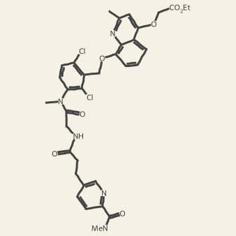 CCOC(=O)COc1cc(C)nc2c(OCc3c(Cl)ccc(N(C)C(=O)CNC(=O)CCc4ccc(C(=O)NC)nc4)c3Cl)cccc12